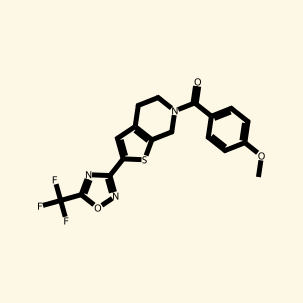 COc1ccc(C(=O)N2CCc3cc(-c4noc(C(F)(F)F)n4)sc3C2)cc1